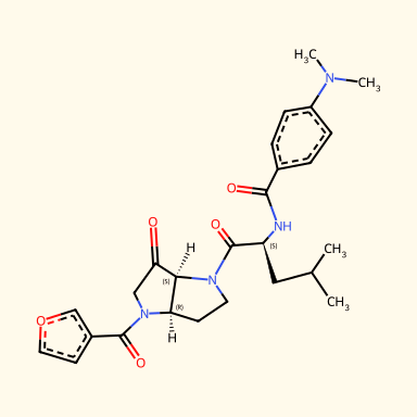 CC(C)C[C@H](NC(=O)c1ccc(N(C)C)cc1)C(=O)N1CC[C@@H]2[C@H]1C(=O)CN2C(=O)c1ccoc1